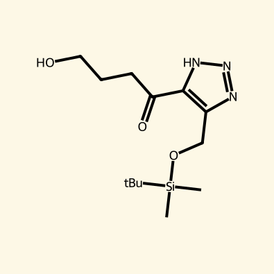 CC(C)(C)[Si](C)(C)OCc1nn[nH]c1C(=O)CCCO